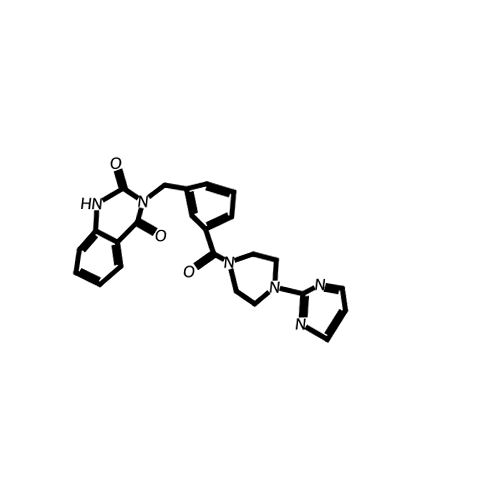 O=C(c1cccc(Cn2c(=O)[nH]c3ccccc3c2=O)c1)N1CCN(c2ncccn2)CC1